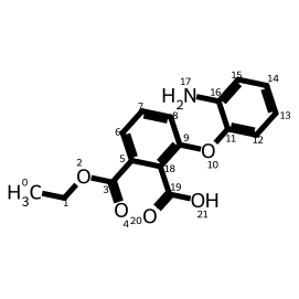 CCOC(=O)c1cccc(Oc2ccccc2N)c1C(=O)O